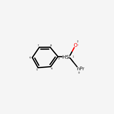 CCC[SiH]([O])c1ccccc1